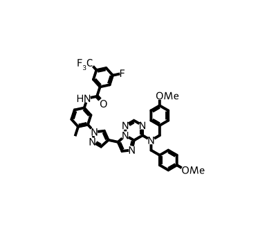 COc1ccc(CN(Cc2ccc(OC)cc2)c2ncnn3c(-c4cnn(-c5cc(NC(=O)c6cc(F)cc(C(F)(F)F)c6)ccc5C)c4)cnc23)cc1